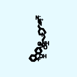 [N-]=[N+]=NCC1CCN(CCNS(=O)(=O)c2ccc(-c3ccccc3F)c(O)c2)CC1